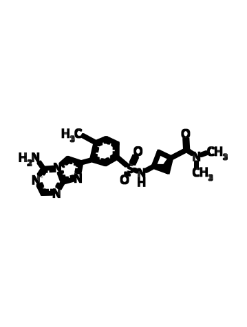 Cc1ccc(S(=O)(=O)NC23CC(C(=O)N(C)C)(C2)C3)cc1-c1cn2c(N)ncnc2n1